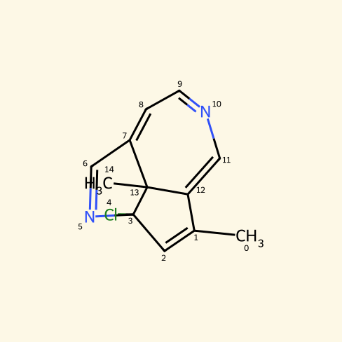 CC1=CC2(Cl)N=CC3=CC=NC=C1C32C